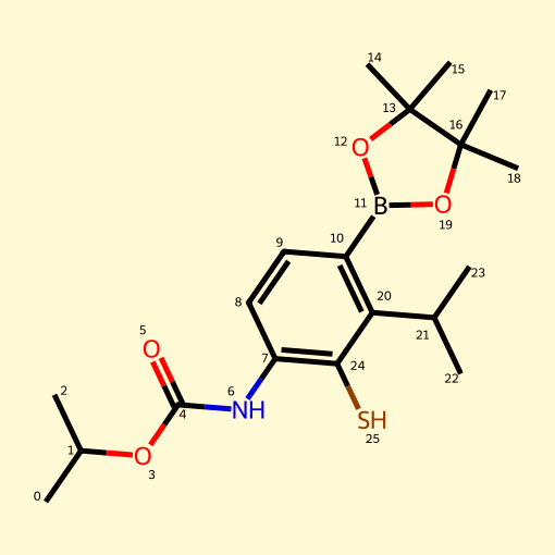 CC(C)OC(=O)Nc1ccc(B2OC(C)(C)C(C)(C)O2)c(C(C)C)c1S